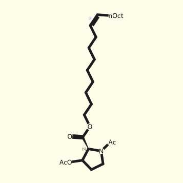 CCCCCCCC/C=C\CCCCCCCCOC(=O)[C@@H]1C(OC(C)=O)CCN1C(C)=O